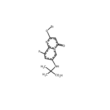 CCOc1cc(=O)n2cc(NC(C)(C)C(=O)O)cc(F)c2n1